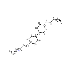 C=CCCC1CCC(C2CCC(OC/C=C/C)CC2)CC1